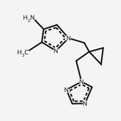 Cc1nn(CC2(Cn3cncn3)CC2)cc1N